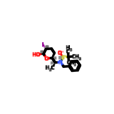 C[C@H]([C@@H]1CC[C@@H](I)[C@H](O)O1)N(Cc1ccccc1)[S@+]([O-])C(C)(C)C